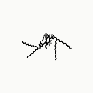 CCCCCCCCCCCC(CCCCCCCCC)Cc1csc(-c2c(F)c(F)c(-c3cc(CC(CCCCCCCCC)CCCCCCCCCCC)cs3)c3nsnc23)c1